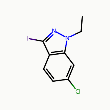 CCn1nc(I)c2ccc(Cl)cc21